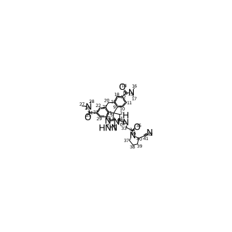 C[C@H](CC1(c2nn[nH]n2)c2ccc(C(=O)N(C)C)cc2Cc2cc(C(=O)N(C)C)ccc21)NCC(=O)N1CCCC1C#N